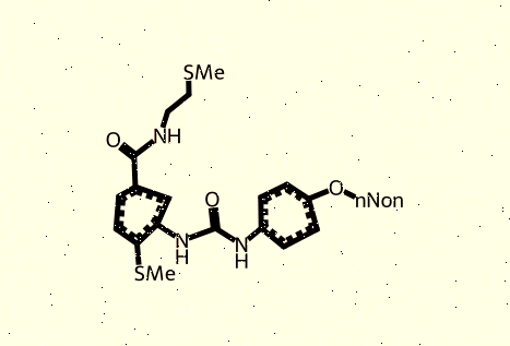 CCCCCCCCCOc1ccc(NC(=O)Nc2cc(C(=O)NCCSC)ccc2SC)cc1